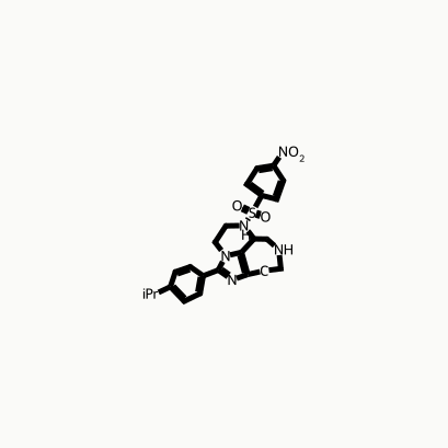 CC(C)c1ccc(-c2nc3c4n2CCN(S(=O)(=O)c2ccc([N+](=O)[O-])cc2)[C@@H]4CNCC3)cc1